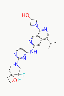 CC(C)c1cnc(N2CC(O)C2)c2cnc(Nc3ccnc(N4CC[C@]5(CCO5)C(F)(F)C4)n3)cc12